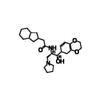 O=C(CC1CC2CCCCC2C1)N[C@H](CN1CCCC1)[C@H](O)C1C=CC2=C(C1)OCCO2